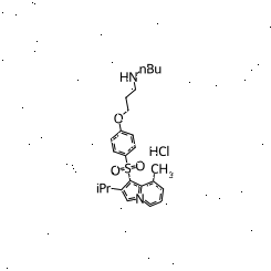 CCCCNCCCOc1ccc(S(=O)(=O)c2c(C(C)C)cn3cccc(C)c23)cc1.Cl